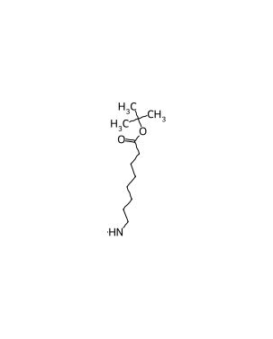 CC(C)(C)OC(=O)CCCCCCC[NH]